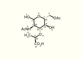 CC(=O)N[C@H]1C(O)O[C@H](COC(C)=O)[C@@H](O)[C@@H]1O[C@H](C)C(=O)O